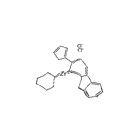 C1=CCC(c2ccc3c([c]2[Zr+2]=[C]2CCCCC2)Cc2ccccc2-3)=C1.[Cl-].[Cl-]